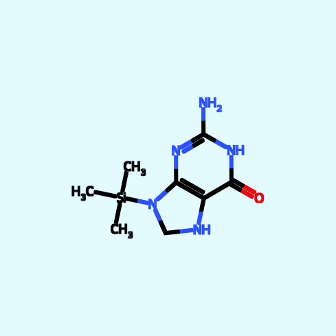 C[Si](C)(C)N1CNc2c1nc(N)[nH]c2=O